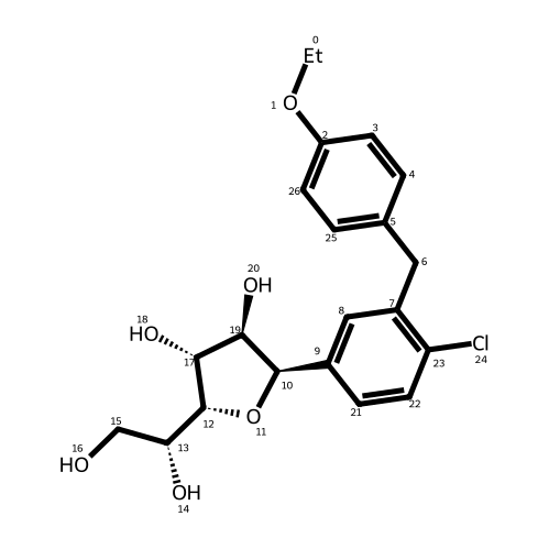 CCOc1ccc(Cc2cc([C@H]3O[C@H]([C@H](O)CO)[C@H](O)[C@H]3O)ccc2Cl)cc1